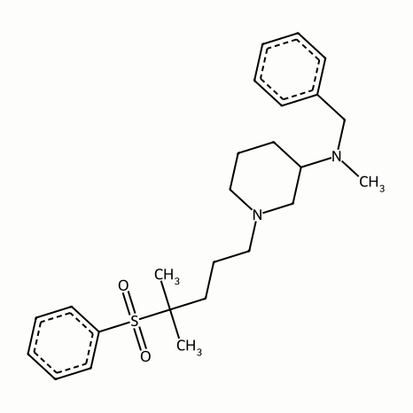 CN(Cc1ccccc1)C1CCCN(CCCC(C)(C)S(=O)(=O)c2ccccc2)C1